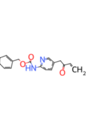 C=CC(=O)Cc1ccc(NC(=O)OCC2=CCCC=C2)nc1